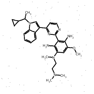 COc1cc(N(C)CCN(C)C)c(N)c(-c2nccc(-c3cn(C(C)C4CC4)c4ccccc34)n2)c1N